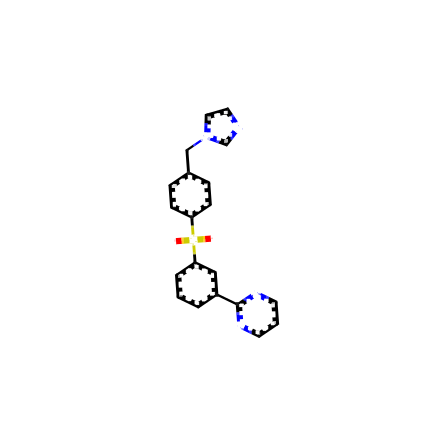 O=S(=O)(c1ccc(Cn2ccnc2)cc1)c1cccc(-c2ncccn2)c1